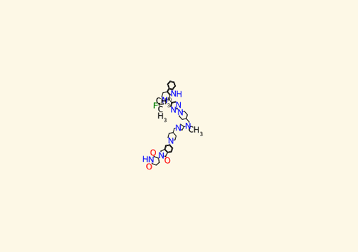 CN(CC1CCN(c2ncc([C@@H]3c4[nH]c5ccccc5c4CCN3CC(C)(C)F)cn2)CC1)C1CN(CC2CCN(c3ccc4c(c3)CN(C3CCC(=O)NC3=O)C4=O)CC2)C1